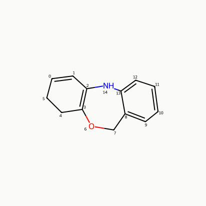 C1=CC2=C(CC1)OCc1ccccc1N2